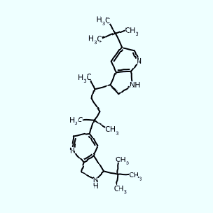 CC(CCC(C)(C)c1cnc2c(c1)C(C(C)(C)C)NC2)C1CNc2ncc(C(C)(C)C)cc21